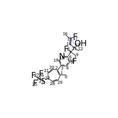 CC1=C(c2ccc(C(F)(CF)C(C)(O)/C=C(/C)F)nc2)C=CC(SC(F)(F)F)C=C1